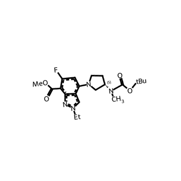 CCn1cc2c(N3CC[C@H](N(C)C(=O)OC(C)(C)C)C3)cc(F)c(C(=O)OC)c2n1